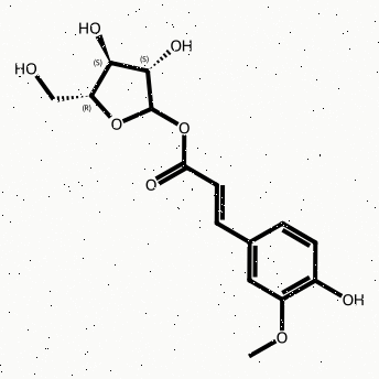 COc1cc(C=CC(=O)OC2O[C@H](CO)[C@@H](O)[C@@H]2O)ccc1O